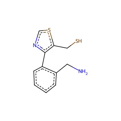 NCc1ccccc1-c1ncsc1CS